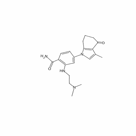 Cc1cn(-c2ccc(C(N)=O)c(NCCN(C)C)c2)c2c1C(=O)CCC2